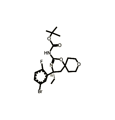 CC[C@@]1(c2cc(Br)ccc2F)CC2(CCOCC2)OC(NC(=O)OC(C)(C)C)=N1